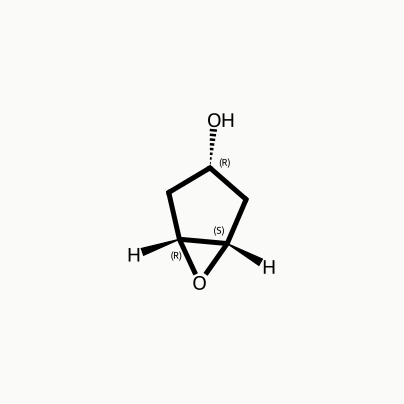 O[C@@H]1C[C@@H]2O[C@@H]2C1